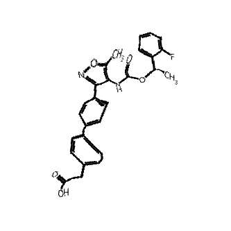 Cc1onc(-c2ccc(-c3ccc(CC(=O)O)cc3)cc2)c1NC(=O)O[C@H](C)c1ccccc1F